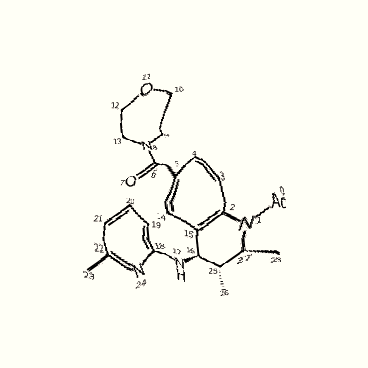 CC(=O)N1c2ccc(C(=O)N3CCOCC3)cc2[C@H](Nc2cccc(C)n2)[C@@H](C)[C@@H]1C